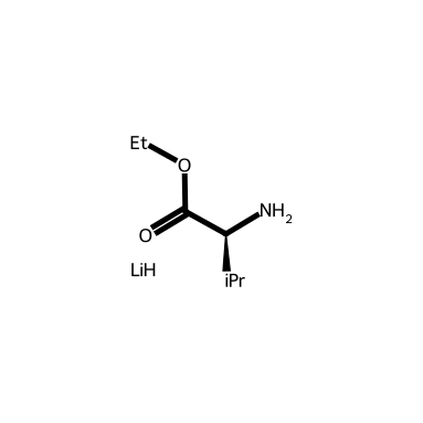 CCOC(=O)[C@@H](N)C(C)C.[LiH]